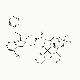 Cc1ccccc1CC1(C(=O)OCc2ccccn2)CCN(C(=O)[C@H](CS)NC(c2ccccc2)(c2ccccc2)c2ccccc2C(=O)OC(C)(C)C)CC1